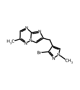 Cc1cnc2nc(Cc3cn(C)nc3Br)cn2n1